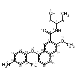 CCC(CO)NC(=O)c1cc2c(Oc3ccc(N)cc3F)ccnc2cc1OC